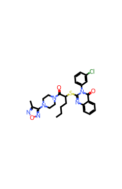 CCCCC(Sc1nc2ccccc2c(=O)n1-c1cccc(Cl)c1)C(=O)N1CCN(c2nonc2C)CC1